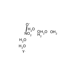 O.O.O.O.O.O.O=[N+]([O-])[O-].[Y]